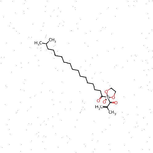 C=C(C)[C](=O)[Ti]1(=[O])([C](=O)CCCCCCCCCCCCCCC(C)C)[O]CC[O]1